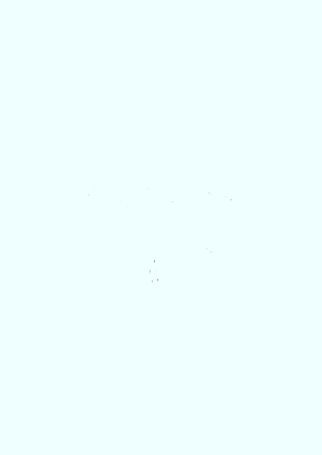 O=C(OCl)c1cncnc1-c1ccccc1Cl